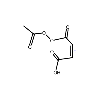 CC(=O)OOC(=O)/C=C\C(=O)O